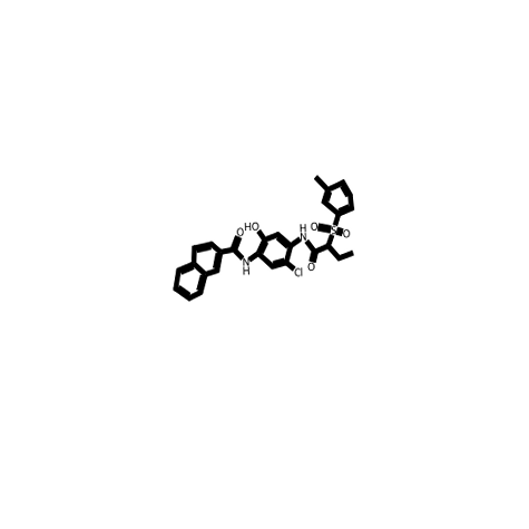 CCC(C(=O)Nc1cc(O)c(NC(=O)c2ccc3ccccc3c2)cc1Cl)S(=O)(=O)c1cccc(C)c1